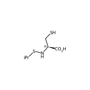 CC(C)SN[C@@H](CS)C(=O)O